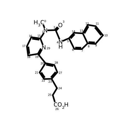 CN(C(=O)Nc1ccc2ccccc2c1)c1cccc(-c2ccc(CCC(=O)O)cc2)n1